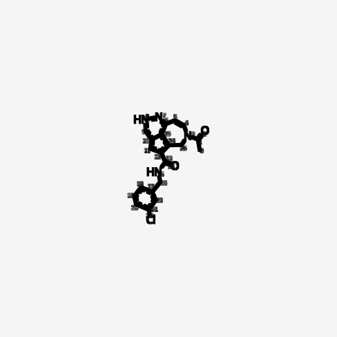 CC(=O)N1C=Cc2n[nH]cc3cc(C(=O)NCc4cccc(Cl)c4)c(c2-3)C1